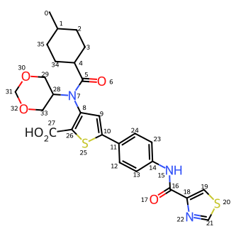 CC1CCC(C(=O)N(c2cc(-c3ccc(NC(=O)c4cscn4)cc3)sc2C(=O)O)C2COCOC2)CC1